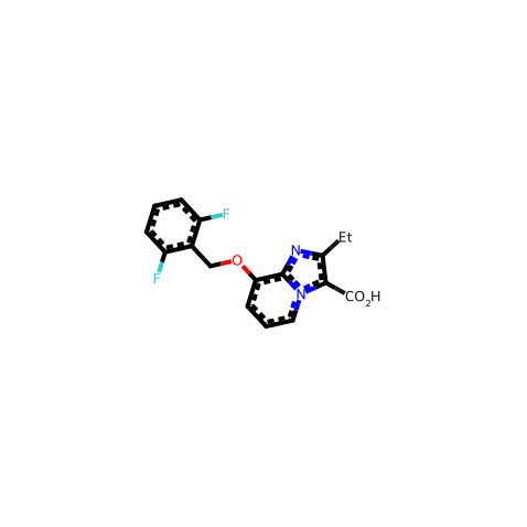 CCc1nc2c(OCc3c(F)cccc3F)cccn2c1C(=O)O